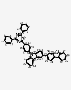 c1ccc(-c2nc(-c3ccccc3)nc(-c3ccc(-n4c5ccccc5c5cc(-c6ccc7c(c6)oc6ccccc67)ccc54)cc3)n2)cc1